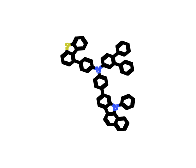 c1ccc(-c2ccc(N(c3ccc(-c4ccc5c6ccc7ccccc7c6n(-c6ccccc6)c5c4)cc3)c3ccc(-c4cccc5sc6ccccc6c45)cc3)cc2-c2ccccc2)cc1